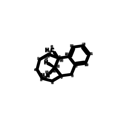 C[C@@]12CCCCCC(Cc3ccccc31)[C@@H]2N